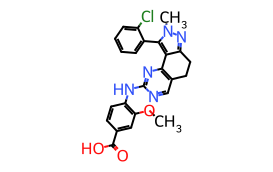 COc1cc(C(=O)O)ccc1Nc1ncc2c(n1)-c1c(nn(C)c1-c1ccccc1Cl)CC2